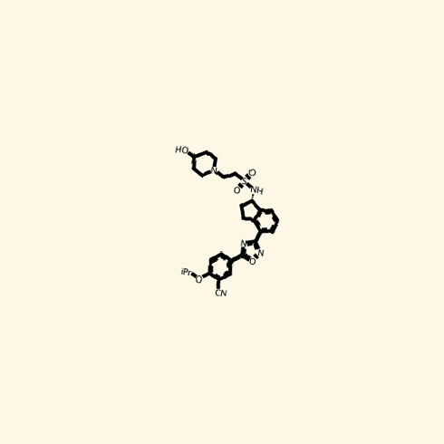 CC(C)Oc1ccc(-c2nc(-c3cccc4c3CC[C@@H]4NS(=O)(=O)CCN3CCC(O)CC3)no2)cc1C#N